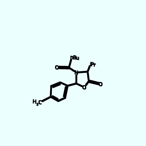 CCCCC(=O)N1C(c2ccc(C)cc2)OC(=O)C1C(C)C